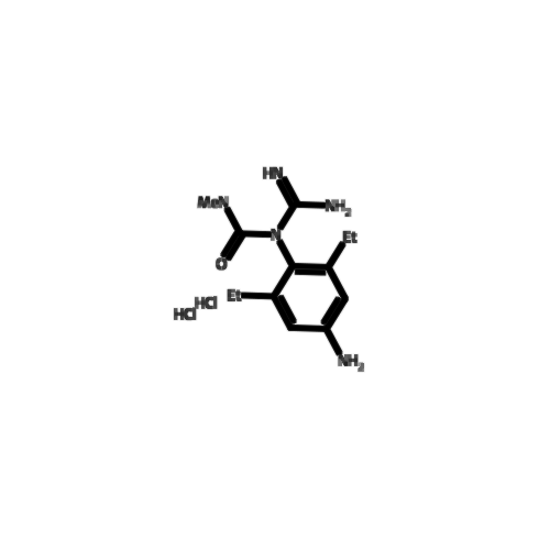 CCc1cc(N)cc(CC)c1N(C(=N)N)C(=O)NC.Cl.Cl